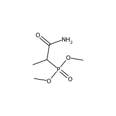 COP(=O)(OC)C(C)C(N)=O